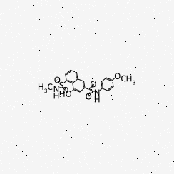 CNS(=O)(=O)c1cccc2cc(S(=O)(=O)Nc3ccc(OC)cc3)cc(O)c12